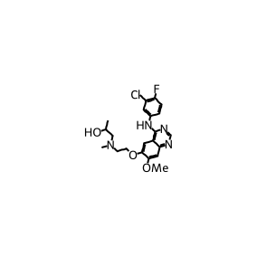 COc1cc2ncnc(Nc3ccc(F)c(Cl)c3)c2cc1OCCN(C)CC(C)O